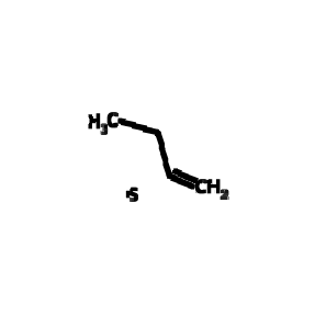 C=CCC.[S]